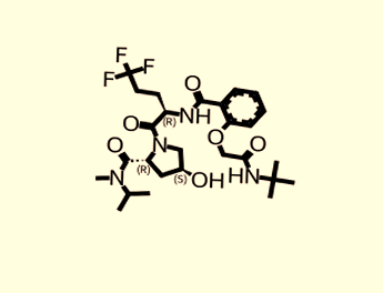 CC(C)N(C)C(=O)[C@H]1C[C@H](O)CN1C(=O)[C@@H](CCC(F)(F)F)NC(=O)c1ccccc1OCC(=O)NC(C)(C)C